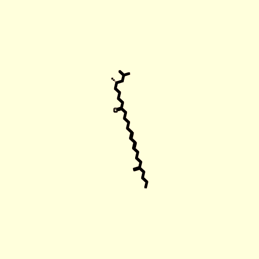 C=C(CCCC)CCC/C=C/C=C/CCCCC(=O)CCCC[C@H](C)CC(C)C